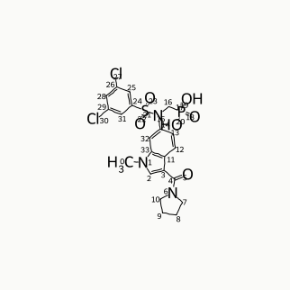 Cn1cc(C(=O)N2CCCC2)c2ccc(N(CP(=O)(O)O)S(=O)(=O)c3cc(Cl)cc(Cl)c3)cc21